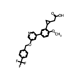 COc1ccc(-c2cncc(OCc3ccc(C(F)(F)F)cc3)c2)cc1C1CC1CC(=O)O